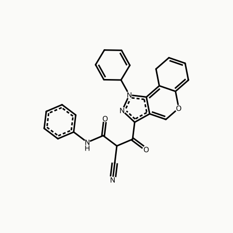 N#CC(C(=O)Nc1ccccc1)C(=O)c1nn(C2C=CCC=C2)c2c1=COC1=CC=CCC=21